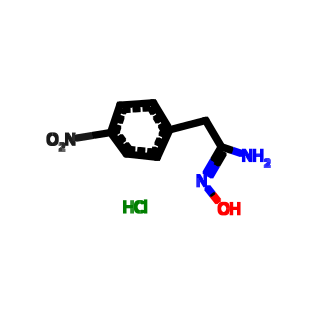 Cl.NC(Cc1ccc([N+](=O)[O-])cc1)=NO